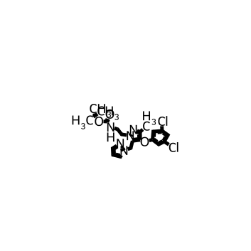 Cc1nn(CCNC(=O)OC(C)(C)C)c(Cn2cccn2)c1Oc1cc(Cl)cc(Cl)c1